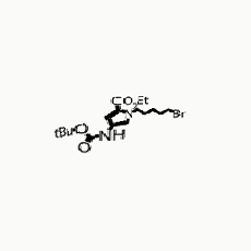 CCOC(=O)c1cc(NC(=O)OC(C)(C)C)cn1CCCCCBr